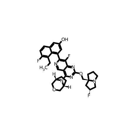 CCc1c(F)ccc2cc(O)cc(-c3ncc4c(N5[C@@H]6CC[C@H]5COC6)nc(OC[C@@]56CCCN5C[C@H](F)C6)nc4c3F)c12